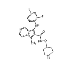 Cn1c(C(=O)NOC2CCNCC2)c(Nc2ccc(I)cc2F)c2cnccc21